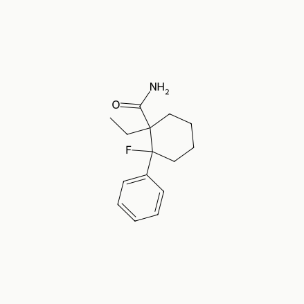 CCC1(C(N)=O)CCCCC1(F)c1ccccc1